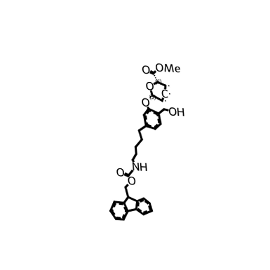 COC(=O)[C@@H]1[CH][CH][CH][C@H](Oc2cc(CCCCCNC(=O)OCC3c4ccccc4-c4ccccc43)ccc2CO)O1